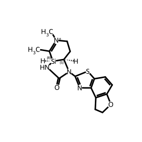 CC1=[N+](C)CC[C@H]2N(c3nc4c5c(ccc4s3)OCC5)C(=O)N[Si@@H]12